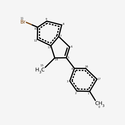 Cc1ccc(C2=Cc3ccc(Br)cc3C2C)cc1